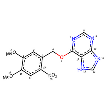 COc1cc(COc2ncnc3nc[nH]c23)c([N+](=O)[O-])cc1OC